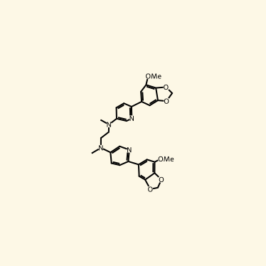 COc1cc(-c2ccc(N(C)CCN(C)c3ccc(-c4cc(OC)c5c(c4)OCO5)nc3)cn2)cc2c1OCO2